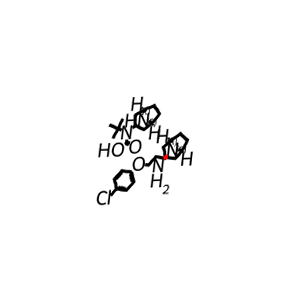 CC(C)(C)N(C(=O)O)C1C[C@H]2CC[C@@H](C1)N2.NC1C[C@H]2CC[C@@H](C1)N2CCCOc1ccc(Cl)cc1